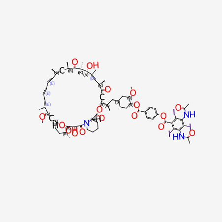 CO[C@H]1C[C@@H]2CC[C@@H](C)[C@@](O)(O2)C(=O)C(=O)N2CCCC[C@H]2C(=O)O[C@H]([C@H](C)C[C@@H]2CC[C@@H](OC(=O)c3ccc(OC(=O)c4c(I)c(NC(C)=O)c(I)c(NC(C)=O)c4I)cc3)[C@H](OC)C2)CC(=O)[C@H](C)/C=C(\C)[C@@H](O)[C@@H](C)C(=O)[C@H](C)C[C@H](C)/C=C/C=C/C=C/1C